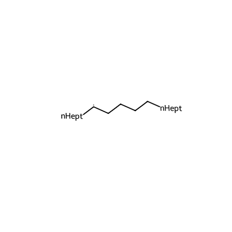 CCCCCCC[CH]CCCCCCCCCCC